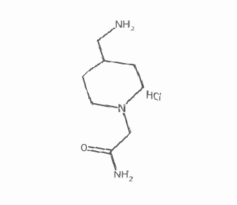 Cl.NCC1CCN(CC(N)=O)CC1